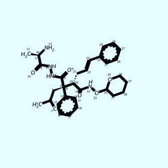 CC(C)C[C@](C(=O)NNC(=O)[C@@H](C)N)(c1ccccc1)[C@H](CC=Cc1ccccc1)C(=O)NOC1CCCCO1